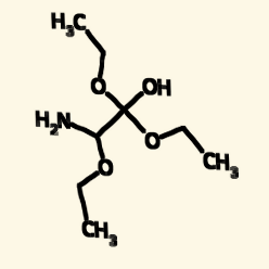 CCOC(N)C(O)(OCC)OCC